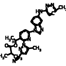 Cc1ccc(Nc2ccc3c(c2)ncn3-c2ccc([C@H](C)OC(=O)C(C)C)c(-n3nc(C#N)cc3C)n2)nn1